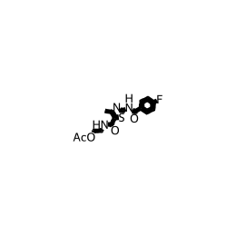 CC(=O)OCCNC(=O)c1sc(NC(=O)c2ccc(F)cc2)nc1C